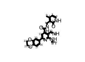 Cc1cc[nH]c(=O)c1CNC(=O)c1cc(-c2ccc3c(c2)OCCO3)nc(NC(C)C)c1C=N